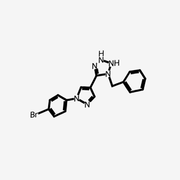 Brc1ccc(-n2cc(C3=NNNN3Cc3ccccc3)cn2)cc1